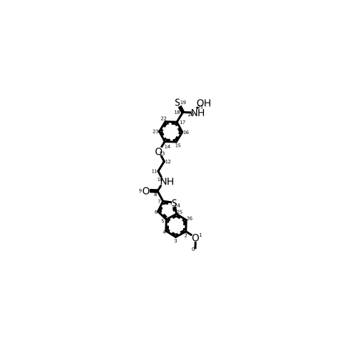 COc1ccc2cc(C(=O)NCCOc3ccc(C(=S)NO)cc3)sc2c1